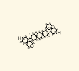 C1CCC2(CC1)CCNCC2N1CCC2(CC1)CCC1(CCC(C3CNCCC34CCOCC4)CC1)CC2